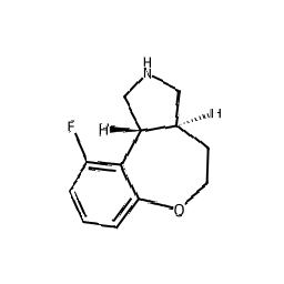 Fc1cccc2c1[C@@H]1CNC[C@H]1CCO2